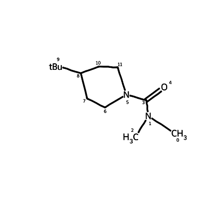 CN(C)C(=O)N1CCC(C(C)(C)C)CC1